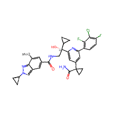 COc1cc(C(=O)NC[C@](O)(c2cc(C3(C(N)=O)CC3)cc(-c3ccc(F)c(Cl)c3F)n2)C2CC2)cc2cn(C3CC3)nc12